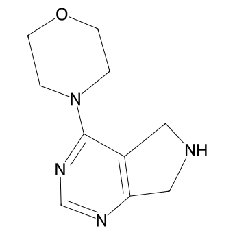 c1nc2c(c(N3CCOCC3)n1)CNC2